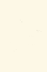 COc1ccc2c(c1)C(CCCN(C)C)c1ccccc1CO2